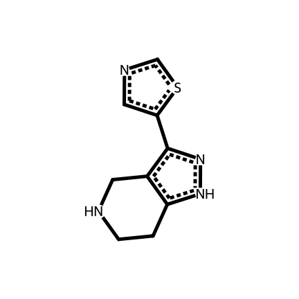 c1ncc(-c2n[nH]c3c2CNCC3)s1